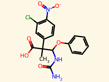 CC(C(=O)O)(c1ccc([N+](=O)[O-])c(Cl)c1)C(NC(N)=O)Oc1ccccc1